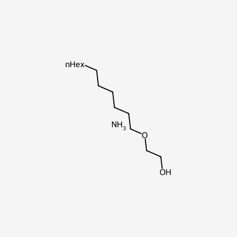 CCCCCCCCCCCCOCCO.N